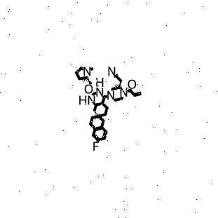 C=CC(=O)N1CCN(C2NC(OC[C@H]3CCCN3C)NC3C[C@]4(CCc5cc(F)ccc5C4)CCC32)C[C@H]1CC#N